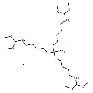 COC(OC)[SiH2]CCCCCC([SiH3])(CCCCC[SiH2]C(OC)OC)CCCCC[SiH2]C(OC)OC